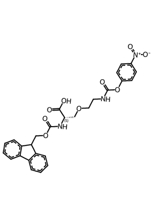 O=C(N[C@@H](COCCNC(=O)Oc1ccc([N+](=O)[O-])cc1)C(=O)O)OCC1c2ccccc2-c2ccccc21